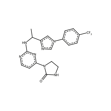 CC(Nc1nccc(N2CCNC2=O)n1)c1cn(-c2ccc(C(F)(F)F)cc2)cn1